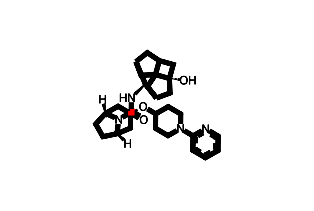 O=C(N[C@H]1C2CC3C[C@@]4(O)CC1CC34C2)N1[C@@H]2CC[C@H]1C[C@@H](OC1CCN(c3ccccn3)CC1)C2